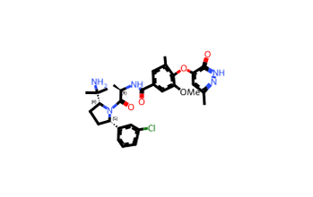 COc1cc(C(=O)N[C@H](C)C(=O)N2[C@H](c3cccc(Cl)c3)CC[C@@H]2C(C)(C)N)cc(C)c1Oc1cc(C)n[nH]c1=O